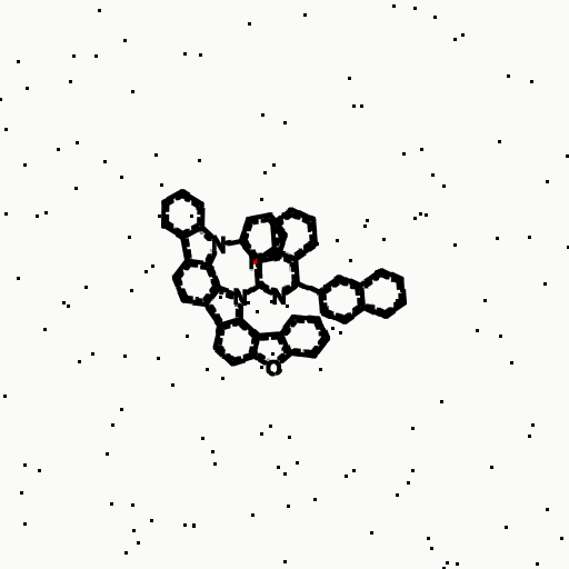 c1ccc(-n2c3ccccc3c3ccc4c5ccc6oc7ccccc7c6c5n(-c5nc(-c6ccc7ccccc7c6)c6ccccc6n5)c4c32)cc1